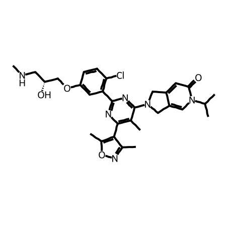 CNC[C@@H](O)COc1ccc(Cl)c(-c2nc(-c3c(C)noc3C)c(C)c(N3Cc4cc(=O)n(C(C)C)cc4C3)n2)c1